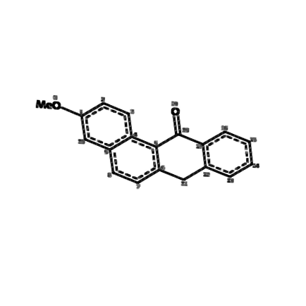 COc1ccc2c3c(ccc2c1)Cc1ccccc1C3=O